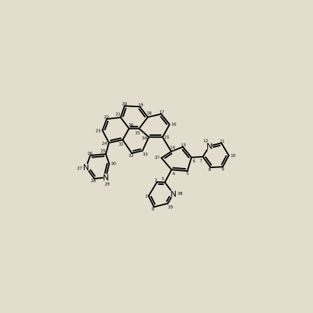 c1ccc(-c2cc(-c3ccccn3)cc(-c3ccc4ccc5ccc(-c6cncnc6)c6ccc3c4c56)c2)nc1